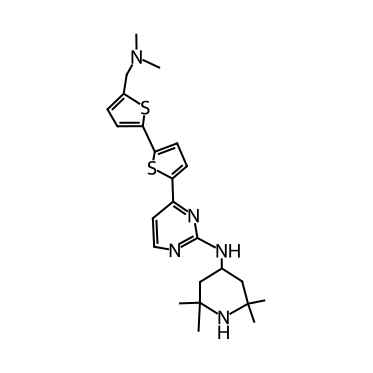 CN(C)Cc1ccc(-c2ccc(-c3ccnc(NC4CC(C)(C)NC(C)(C)C4)n3)s2)s1